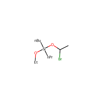 CCCC[Si](CCC)(OCC)OC(C)Br